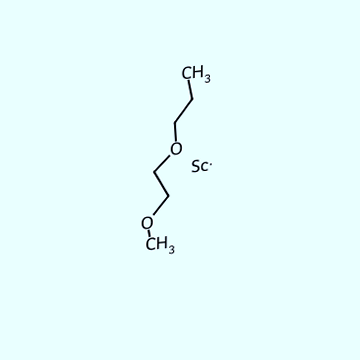 CCCOCCOC.[Sc]